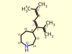 C=C(C)/C(=C\C=C(C)C)C1CCCNCC1